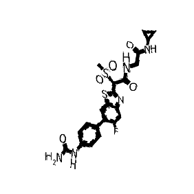 CS(=O)(=O)C(C(=O)NCC(=O)NC1CC1)c1nc2cc(F)c(-c3ccc(NC(N)=O)cc3)cc2s1